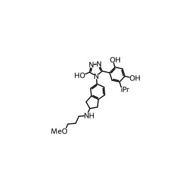 COCCCNC1Cc2ccc(-n3c(O)nnc3-c3cc(C(C)C)c(O)cc3O)cc2C1